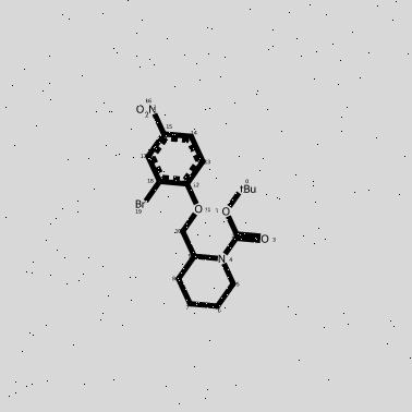 CC(C)(C)OC(=O)N1CCCCC1COc1ccc([N+](=O)[O-])cc1Br